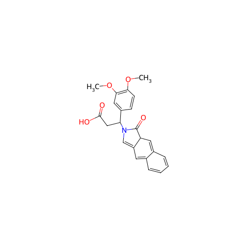 COc1ccc(C(CC(=O)O)N2C=C3C=c4ccccc4=CC3C2=O)cc1OC